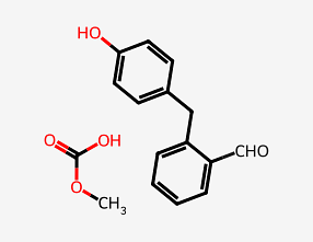 COC(=O)O.O=Cc1ccccc1Cc1ccc(O)cc1